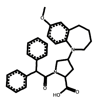 COc1ccc2c(c1)CCCCN2C1CC(C(=O)O)N(C(=O)C(c2ccccc2)c2ccccc2)C1